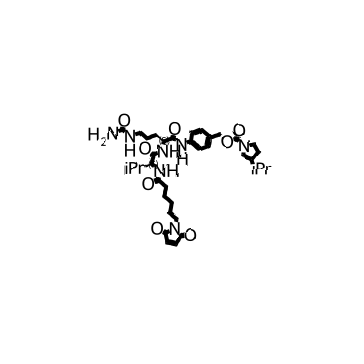 CC(C)C1CCN(C(=O)OCc2ccc(NC(=O)[C@H](CCCNC(N)=O)NC(=O)[C@@H](NC(=O)CCCCCN3C(=O)C=CC3=O)C(C)C)cc2)C1